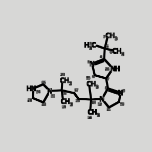 CC(C)(C)C1=NCC(C2=NCCN2C(C)(C)CCC(C)(C)N2CCNC2)N1